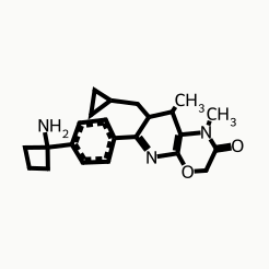 CC1C2=C(N=C(c3ccc(C4(N)CCC4)cc3)C1CC1CC1)OCC(=O)N2C